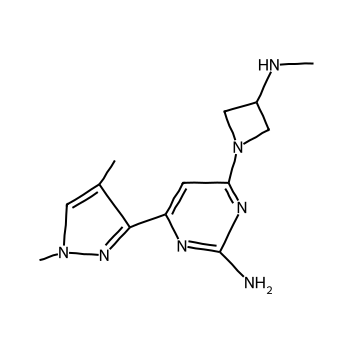 CNC1CN(c2cc(-c3nn(C)cc3C)nc(N)n2)C1